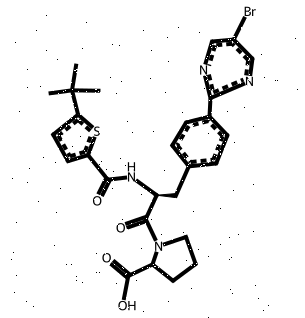 CC(C)(C)c1ccc(C(=O)N[C@@H](Cc2ccc(-c3ncc(Br)cn3)cc2)C(=O)N2CCCC2C(=O)O)s1